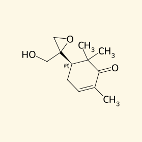 CC1=CC[C@@H](C2(CO)CO2)C(C)(C)C1=O